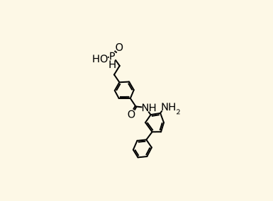 Nc1ccc(-c2ccccc2)cc1NC(=O)c1ccc(CC[PH](=O)O)cc1